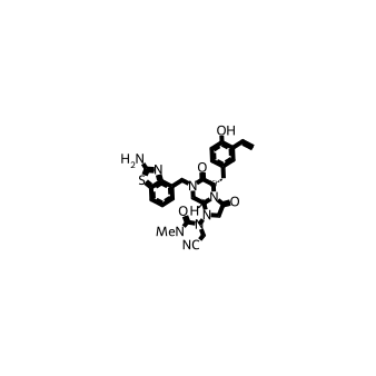 C=Cc1cc(C[C@H]2C(=O)N(Cc3cccc4sc(N)nc34)C[C@H]3N2C(=O)CN3N(CC#N)C(=O)NC)ccc1O